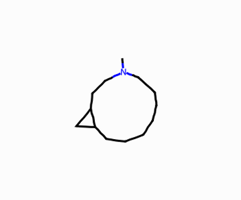 CN1CCCCCCCC2CC2CC1